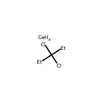 CCC(Cl)(Cl)CC.[GeH4]